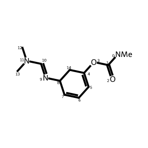 CNC(=O)OC1=CC=CC(N=CN(C)C)C1